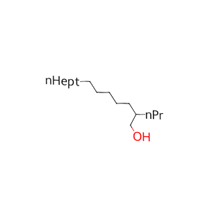 CCCCCCCCCCCCC(CO)CCC